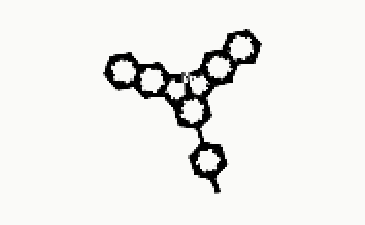 Cc1ccc(-c2cc3c4cc5ccccc5cc4n4c5cc6ccccc6cc5c(c2)c34)cc1